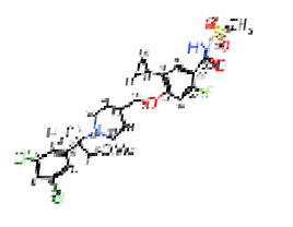 COC[C@@](C)(c1cc(Cl)cc(Cl)c1)N1CCC(COc2cc(F)c(C(=O)NS(C)(=O)=O)cc2C2CC2)CC1